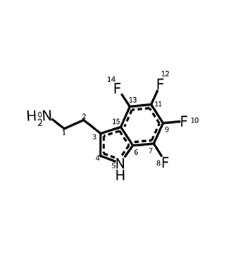 NCCc1c[nH]c2c(F)c(F)c(F)c(F)c12